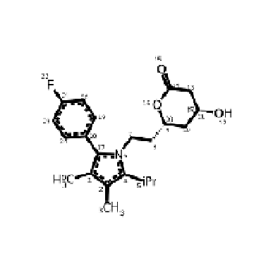 Cc1c(C)c(C(C)C)n(CC[C@H]2C[C@H](O)CC(=O)O2)c1-c1ccc(F)cc1